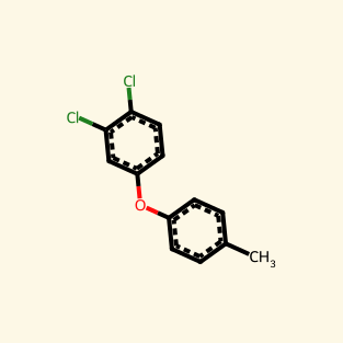 Cc1ccc(Oc2ccc(Cl)c(Cl)c2)cc1